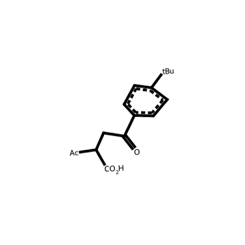 CC(=O)C(CC(=O)c1ccc(C(C)(C)C)cc1)C(=O)O